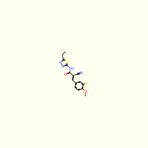 CCc1nnc(NC(=O)/C(C#N)=C/c2ccc(OC)c(F)c2)s1